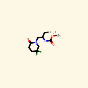 CC(C)(C)OC(=O)NC(CC(=O)O)CN1CC(F)(F)CCC1=O